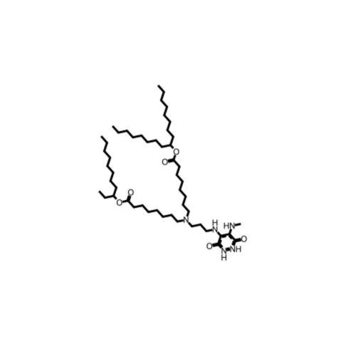 CCCCCCCCC(CC)OC(=O)CCCCCCCN(CCCCCCCC(=O)OC(CCCCCCCC)CCCCCCCC)CCCNc1c(NC)c(=O)[nH][nH]c1=O